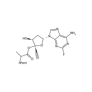 C#C[C@]1(OC(=O)C(C)CCCCC)O[C@@H](n2cnc3c(N)nc(F)nc32)C[C@@H]1O